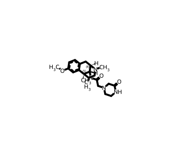 COc1ccc2c(c1)[C@]1(C)CCN(C)[C@H](C2)[C@@H]1N(C)C(=O)CN1CCNC(=O)C1